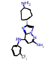 Nc1cc(Nc2cccc(C(F)(F)F)c2)c2nc([C@H]3CC[C@H](N)CC3)cn2n1